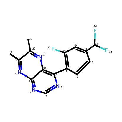 Cc1nc2ncnc(-c3ccc(C(F)F)cc3F)c2nc1C